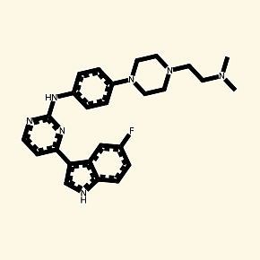 CN(C)CCN1CCN(c2ccc(Nc3nccc(-c4c[nH]c5ccc(F)cc45)n3)cc2)CC1